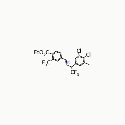 CCOC(=O)c1ccc(/C=C/C(c2cc(C)c(Cl)c(Cl)c2)C(F)(F)F)cc1C(F)(F)F